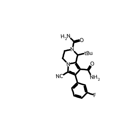 CC(C)(C)C1c2c(C(N)=O)c(-c3cccc(F)c3)c(C#N)n2CCN1C(N)=O